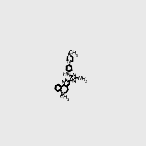 CN1CCN(c2ccc(Nc3nc(N)nn3-c3cc4c(nn3)-c3ccccc3N(C)CC4)cc2)CC1